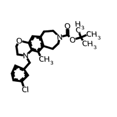 Cc1c2c(cc3c1N(Cc1cccc(Cl)c1)CCO3)CCN(C(=O)OC(C)(C)C)CC2